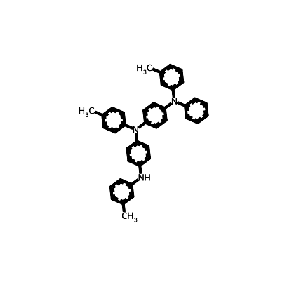 Cc1ccc(N(c2ccc(Nc3cccc(C)c3)cc2)c2ccc(N(c3ccccc3)c3cccc(C)c3)cc2)cc1